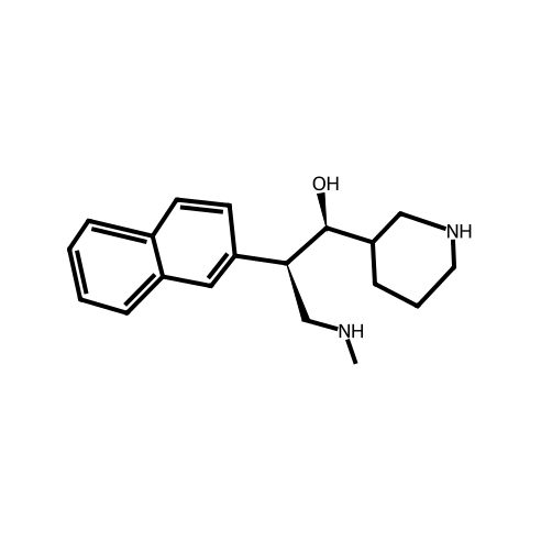 CNC[C@@H](c1ccc2ccccc2c1)[C@@H](O)C1CCCNC1